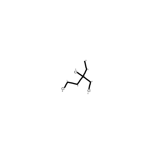 C[CH]C(Cl)(CCl)CCCl